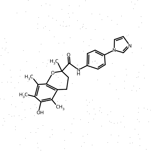 Cc1c(C)c2c(c(C)c1O)CCC(C)(C(=O)Nc1ccc(-n3ccnc3)cc1)O2